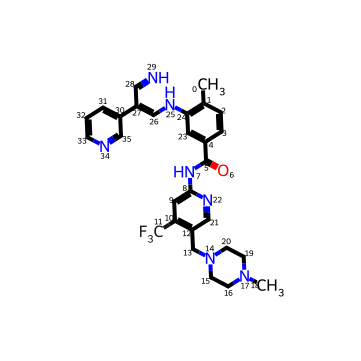 Cc1ccc(C(=O)Nc2cc(C(F)(F)F)c(CN3CCN(C)CC3)cn2)cc1N/C=C(\C=N)c1cccnc1